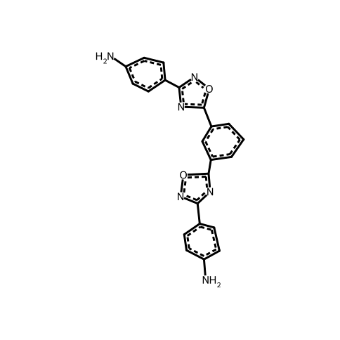 Nc1ccc(-c2noc(-c3cccc(-c4nc(-c5ccc(N)cc5)no4)c3)n2)cc1